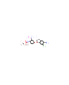 COC(=N)c1cc(OC2CCc3cc(C#N)c(Cl)cc32)ccc1NC(=O)OC(C)(C)C